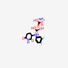 N.O=C(O)O.O=C(O)O.O=C1CCC(Nc2ccc(F)c(F)c2)C(=O)N1